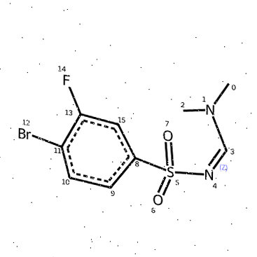 CN(C)/C=N\S(=O)(=O)c1ccc(Br)c(F)c1